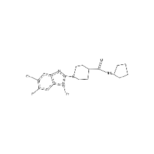 CC(C)n1c(N2CCC(C(=O)NC3CCCC3)CC2)nc2cc(Cl)c(F)cc21